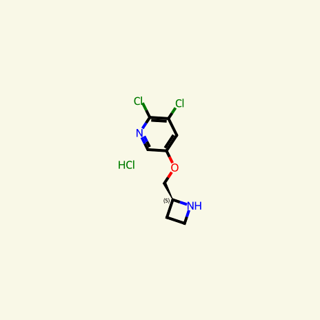 Cl.Clc1cc(OC[C@@H]2CCN2)cnc1Cl